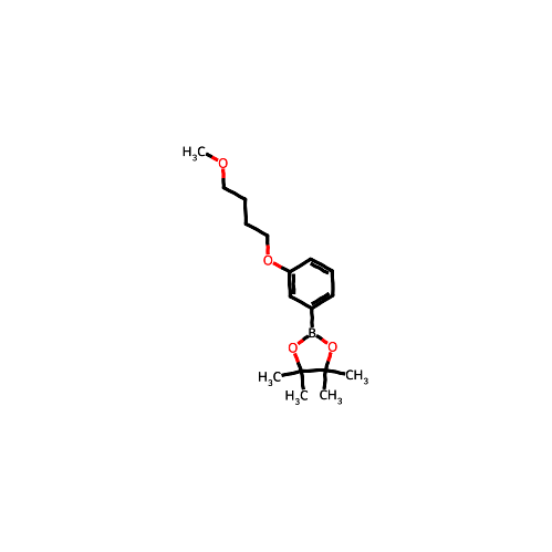 COCCCCOc1cccc(B2OC(C)(C)C(C)(C)O2)c1